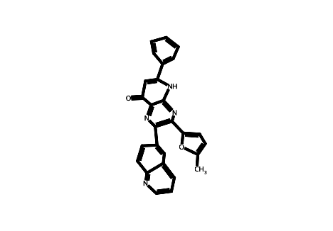 Cc1ccc(-c2nc3[nH]c(-c4ccccc4)cc(=O)c3nc2-c2ccc3ncccc3c2)o1